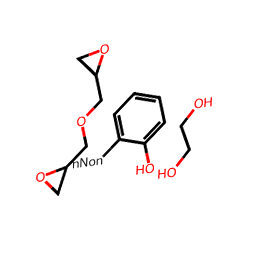 C(OCC1CO1)C1CO1.CCCCCCCCCc1ccccc1O.OCCO